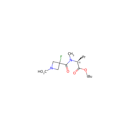 CC(C)[C@@H](C(=O)OC(C)(C)C)N(C)C(=O)C1(F)CN(C(=O)O)C1